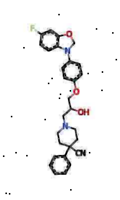 N#CC1(c2ccccc2)CCN(CC(O)COc2ccc(N3COc4cc(F)ccc43)cc2)CC1